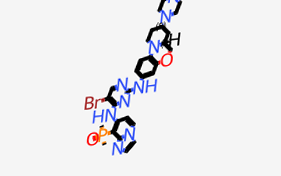 CN1CCN([C@H]2CCN3c4ccc(Nc5ncc(Br)c(Nc6ccn7ccnc7c6P(C)(C)=O)n5)cc4OC[C@H]3C2)CC1